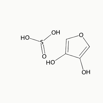 O=S(O)O.Oc1cocc1O